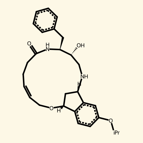 CC(C)Oc1ccc2c(c1)[C@@H]1C[C@H]2OC/C=C\CCC(=O)N[C@@H](Cc2ccccc2)[C@H](O)CN1